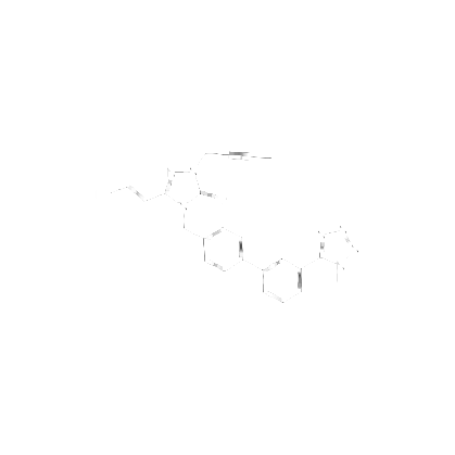 CC#CCn1nc(/C=C/CC)n(Cc2ccc(-c3cccc(-c4nnn[nH]4)c3)cc2)c1=O